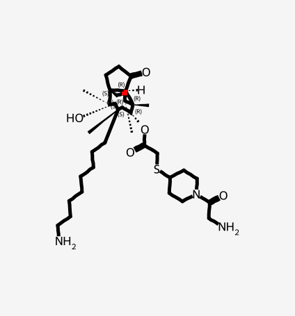 C[C@@H]1CC[C@@]23CCC(=O)[C@H]2[C@]1(C)[C@H](OC(=O)CSC1CCN(C(=O)CN)CC1)C[C@](C)(CCCCCCCCN)[C@@H](O)[C@@H]3C